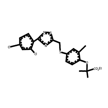 CCOC(=O)C(C)(C)Oc1ccc(SCc2nc(-c3ccc(Cl)cc3Cl)ns2)cc1C